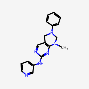 CN1CN(c2ccccc2)Cc2cnc(Nc3cccnc3)nc21